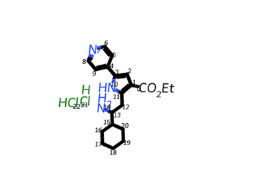 CCOC(=O)c1cc(-c2ccncc2)[nH]c1CC(N)C1CCCCC1.Cl.Cl